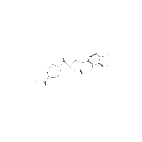 COC(=O)C1CCN(C(=O)C2CN(C3=C(C)C(=NO)C(N)C=C3)C(=O)O2)CC1